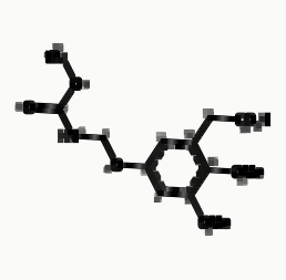 COc1cc(OCNC(=O)OC(C)(C)C)cc(CC(=O)O)c1OC